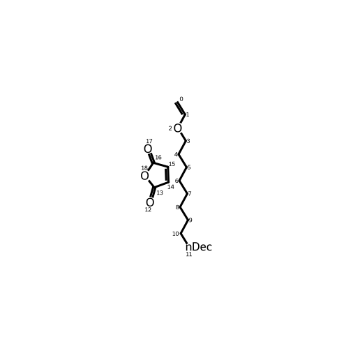 C=COCCCCCCCCCCCCCCCCCC.O=C1C=CC(=O)O1